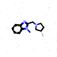 C[C@H]1CCN(Cc2nc3ccccc3n2C)C1